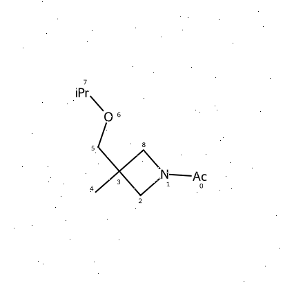 CC(=O)N1CC(C)(COC(C)C)C1